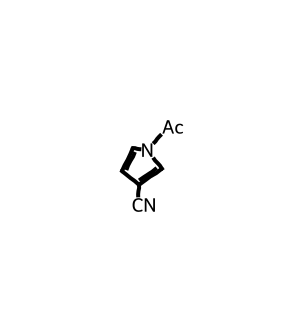 CC(=O)n1ccc(C#N)c1